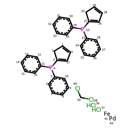 C1=CCC(P(c2ccccc2)c2ccccc2)=C1.C1=CCC(P(c2ccccc2)c2ccccc2)=C1.Cl.Cl.ClCCl.[Fe].[Pd]